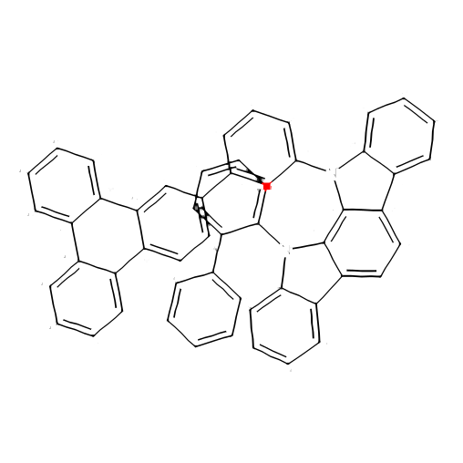 c1ccc(-c2ccccc2-n2c3ccccc3c3ccc4c5ccccc5n(-c5cccc(-c6ccc7c8ccccc8c8ccccc8c7c6)c5)c4c32)cc1